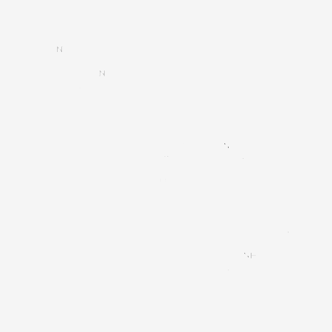 CSNc1ccc(C(=O)N2CCc3c(c(=O)oc4c(C)c(N5CCN(C)CC5)cc(C)c34)C2)cc1Cl